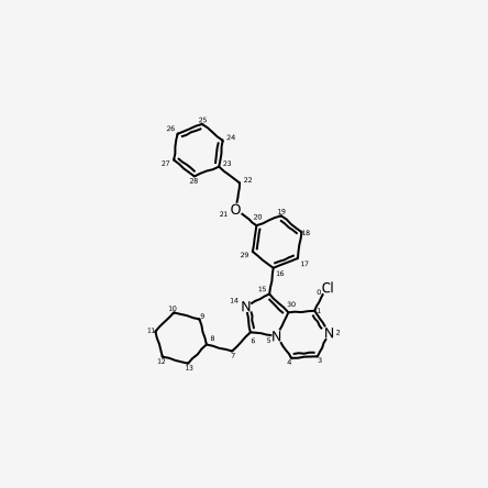 Clc1nccn2c(CC3CCCCC3)nc(-c3cccc(OCc4ccccc4)c3)c12